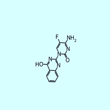 Nc1nc(=O)n(-c2nc(O)c3ccccc3n2)cc1F